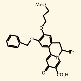 COCCCOc1cc2c(cc1OCc1ccccc1)-c1cc(=O)c(C(=O)O)cn1C(C(C)C)C2